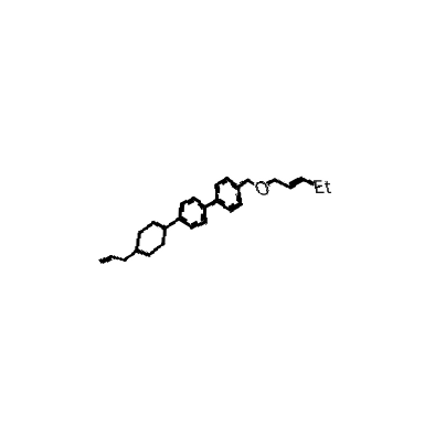 C=CCC1CCC(c2ccc(-c3ccc(COCC=CCC)cc3)cc2)CC1